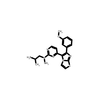 BC(C)CN(N)c1nccc(-c2c(-c3cccc(OC)c3)nc3sccn23)n1